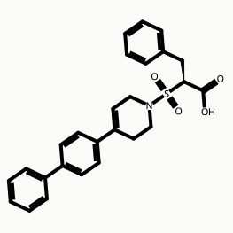 O=C(O)[C@H](Cc1ccccc1)S(=O)(=O)N1CC=C(c2ccc(-c3ccccc3)cc2)CC1